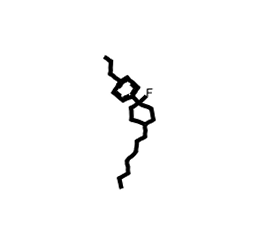 CCCCCCCC1CCC(F)(c2ccc(CCC)cc2)CC1